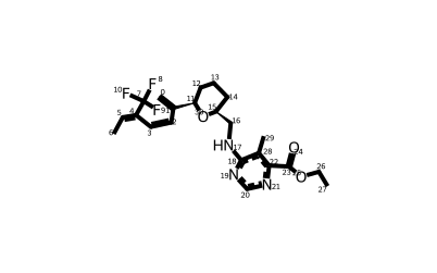 C=C(/C=C\C(=C/C)C(F)(F)F)[C@H]1CCC[C@@H](CNc2ncnc(C(=O)OCC)c2C)O1